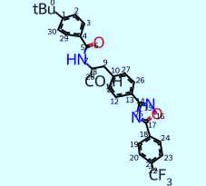 CC(C)(C)c1ccc(C(=O)N[C@@H](Cc2ccc(-c3noc(-c4ccc(C(F)(F)F)cc4)n3)cc2)C(=O)O)cc1